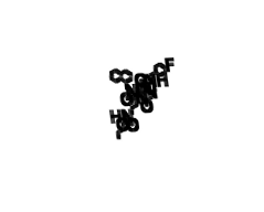 C=CCOC(=O)NCCC[C@H]1C(=O)N(Cc2cccc3ccccc23)C[C@H]2N1C(=O)CN(C)N2C(=O)NCc1ccc(F)cc1